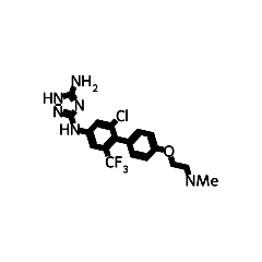 CNCCOc1ccc(-c2c(Cl)cc(Nc3n[nH]c(N)n3)cc2C(F)(F)F)cc1